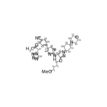 COCCCCOc1nn(C2CCC(N3CCOCC3)CC2)cc1Nc1ncc(-c2ccc(C#N)c(O[C@@H](C)Cn3cnnn3)c2)cn1